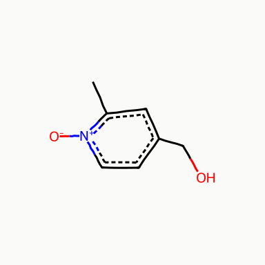 Cc1cc(CO)cc[n+]1[O-]